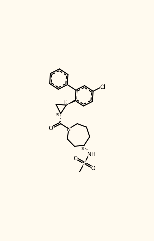 CS(=O)(=O)N[C@H]1CCCN(C(=O)[C@@H]2C[C@H]2c2ccc(Cl)cc2-c2ccccc2)CC1